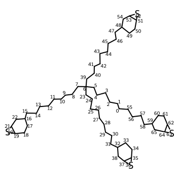 C(CCCCCC(CCCCCCCCCC1CCC2SC2C1)(CCCCCCCCCC1CCC2SC2C1)CCCCCCCCCC1CCC2SC2C1)CCCCC1CCC2SC2C1